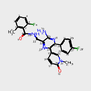 Cc1cccc(F)c1C(=O)NCc1nc(-c2ccc(=O)n(C)c2)c(-c2ccc(F)cc2)nc1N